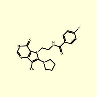 N#Cc1c(N2CCCC2)n(CCNC(=O)c2ccc(F)cc2)c2c(=S)[nH]cnc12